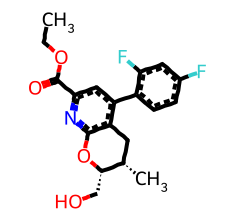 CCOC(=O)c1cc(-c2ccc(F)cc2F)c2c(n1)O[C@@H](CO)[C@@H](C)C2